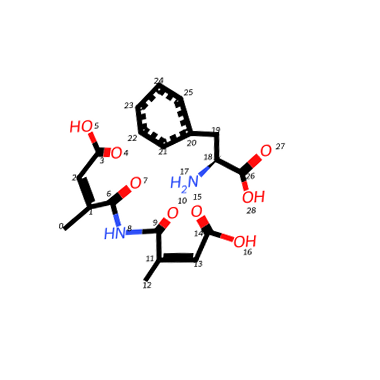 C/C(=C/C(=O)O)C(=O)NC(=O)/C(C)=C\C(=O)O.N[C@@H](Cc1ccccc1)C(=O)O